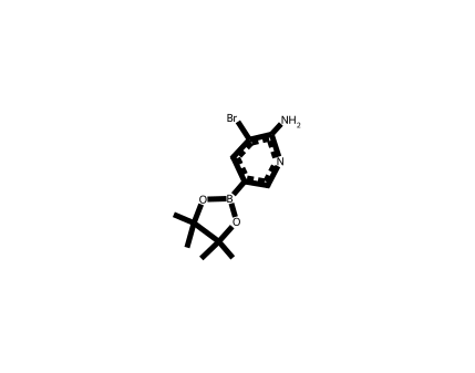 CC1(C)OB(c2cnc(N)c(Br)c2)OC1(C)C